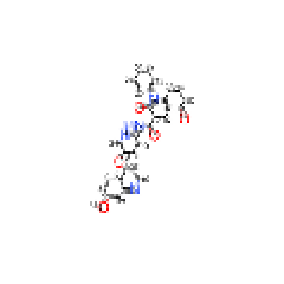 COc1ccc2c(Oc3ccc(NC(=O)c4cc5c(n(-c6ccccc6)c4=O)CCCC5=O)nc3)ccnc2c1